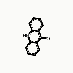 O=c1c2cc[c]cc2[nH]c2ccccc12